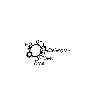 CC[C@H](/C=C(/C)[C@@H]1C[C@@H](O)C[C@H](O)C(C)(C)c2cccc(c2)C[C@@H](OCOC)[C@H](OCOC)C(=O)O1)COCOCCOC